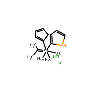 C[C](C)=[Zr]([CH3])([CH3])([CH3])([C]1=CC=CC1)[c]1ccc[pH]1.Cl.Cl